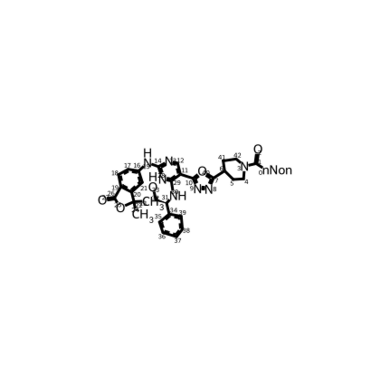 CCCCCCCCCC(=O)N1CCC(c2nnc(-c3cnc(Nc4ccc5c(c4)C(C)(C)OC5=O)nc3N[C@H](CO)c3ccccc3)o2)CC1